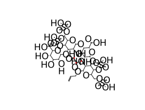 C=CCO[C@@H]1OC(COS(=O)(=O)O)[C@H](OS(=O)(=O)O)[C@H](O[C@@H]2OC(C(=O)O)[C@@H](O[C@@H]3OC(COS(=O)(=O)O)[C@H](OS(=O)(=O)O)[C@H](O[C@@H]4OC(C(=O)O)[C@@H](O)[C@H](O)C4O)C3NC(C)=O)[C@H](O)C2O)C1NC(C)=O